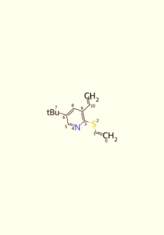 C=CSc1ncc(C(C)(C)C)cc1C=C